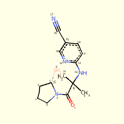 B[C@H]1CCCN1C(=O)C(C)(C)Nc1ccc(C#N)cn1